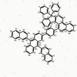 c1ccc(C2(c3ccccc3)c3ccccc3-c3c2ccc2c3c(-c3ccc(-c4ccc5c(-c6ccc7ccccc7c6)c6ccccc6c(-c6ccc7ccccc7c6)c5c4)cc3)nc3ccccc32)cc1